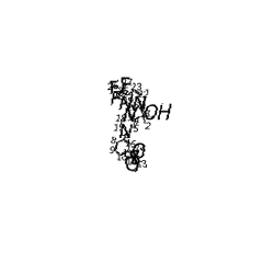 CC(C)(O)C1CN(c2cccc(S(C)(=O)=O)c2)CCN1c1nccc(C(F)(F)F)n1